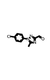 Cc1nc(C=O)nn1-c1ccc(Cl)cc1